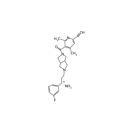 C#Cc1cc(C)c(C(=O)N2CC3CN(CC[C@H](N)c4cccc(F)c4)CC3C2)c(C)n1